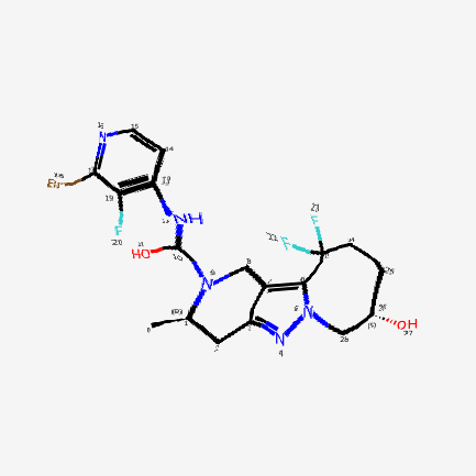 C[C@@H]1Cc2nn3c(c2CN1C(O)Nc1ccnc(Br)c1F)C(F)(F)CC[C@H](O)C3